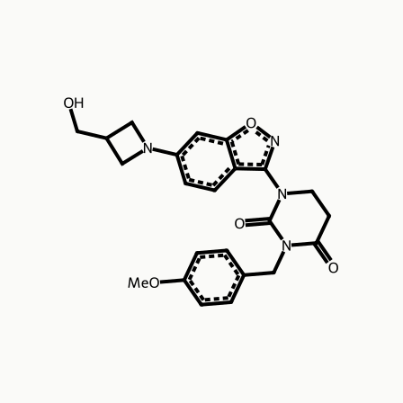 COc1ccc(CN2C(=O)CCN(c3noc4cc(N5CC(CO)C5)ccc34)C2=O)cc1